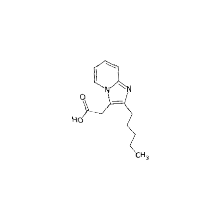 CCCCCc1nc2ccccn2c1CC(=O)O